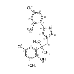 Cc1cc(Cl)cc(C(C)(C)C[n+]2cn(-c3ccc(Cl)cc3C(C)(C)C)nn2)c1O